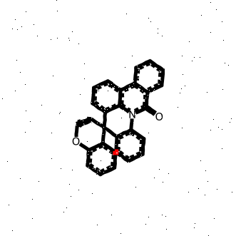 O=c1c2ccccc2c2cccc3c2n1-c1ccccc1C31c2ccccc2Oc2ccccc21